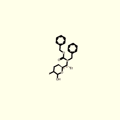 CC[C@H]([C@@H]1CCC(I)C(O)O1)N(Cc1ccccc1)C(=O)OCc1ccccc1